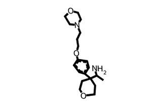 CC(N)C1(c2ccc(OCCCN3CCOCC3)cc2)CCOCC1